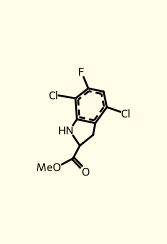 COC(=O)C1Cc2c(Cl)cc(F)c(Cl)c2N1